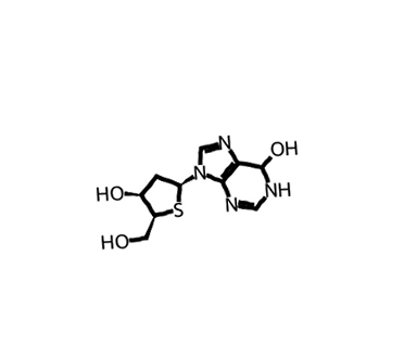 OC[C@@H]1S[C@H](n2cnc3c2N=CNC3O)C[C@@H]1O